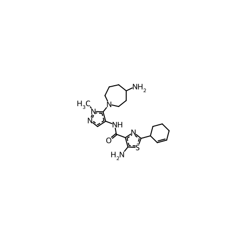 Cn1ncc(NC(=O)c2nc(C3C=CCCC3)sc2N)c1N1CCCC(N)CC1